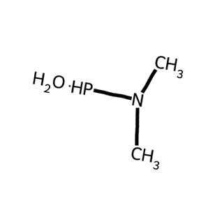 CN(C)[PH].O